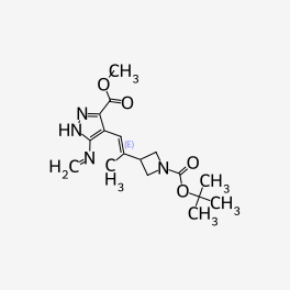 C=Nc1[nH]nc(C(=O)OC)c1/C=C(\C)C1CN(C(=O)OC(C)(C)C)C1